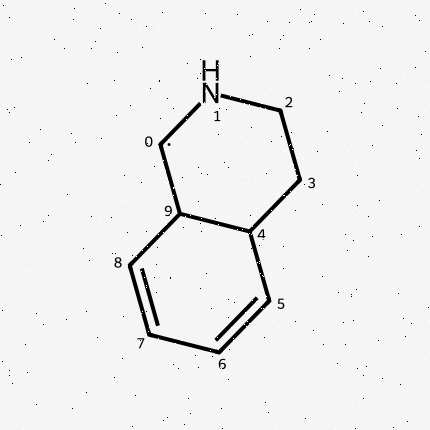 [CH]1NCCC2C=CC=CC12